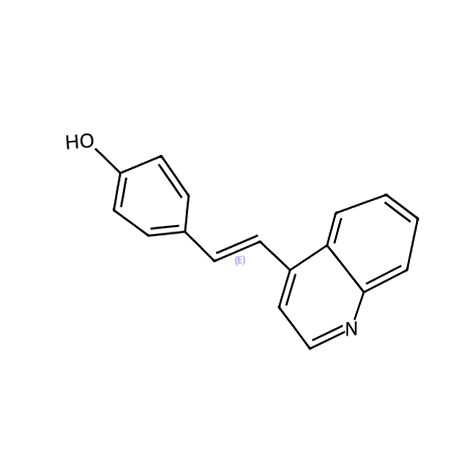 Oc1ccc(/C=C/c2ccnc3ccccc23)cc1